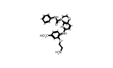 NCCOc1cc(C(=O)O)ccc1Nc1ccc2c(n1)N(C(=O)Nc1ccccc1)CCO2